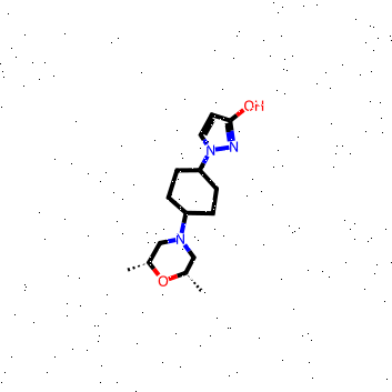 C[C@@H]1CN(C2CCC(n3ccc(O)n3)CC2)C[C@H](C)O1